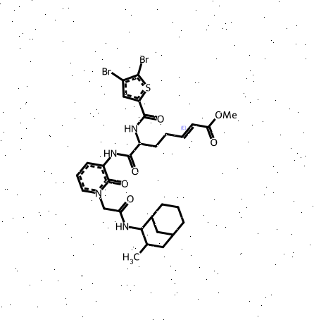 COC(=O)/C=C/CCC(NC(=O)c1cc(Br)c(Br)s1)C(=O)Nc1cccn(CC(=O)NC2C(C)CC3CCCC2C3)c1=O